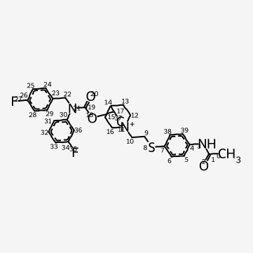 CC(=O)Nc1ccc(SCC[N+]23CCC(CC2)C(OC(=O)N(Cc2ccc(F)cc2)c2cccc(F)c2)C3)cc1